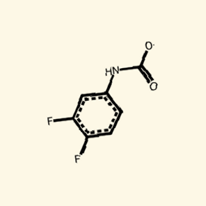 [O]C(=O)Nc1ccc(F)c(F)c1